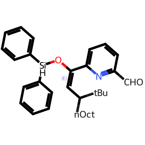 CCCCCCCCC(/C=C(/O[SiH](c1ccccc1)c1ccccc1)c1cccc(C=O)n1)C(C)(C)C